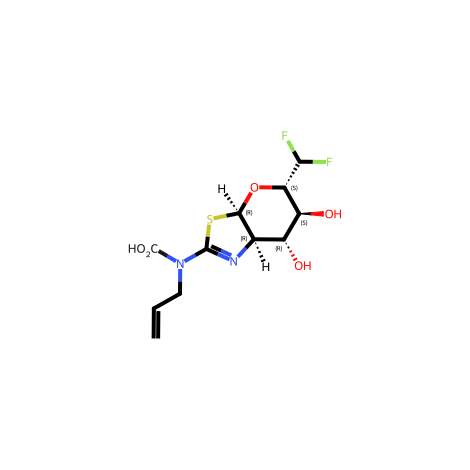 C=CCN(C(=O)O)C1=N[C@@H]2[C@@H](O)[C@H](O)[C@@H](C(F)F)O[C@@H]2S1